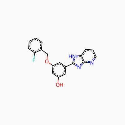 Oc1cc(OCc2ccccc2F)cc(-c2nc3ncccc3[nH]2)c1